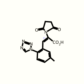 Cc1ccc(-n2cnnn2)c(/C=C(\C(=O)O)N2C(=O)CCC2=O)c1